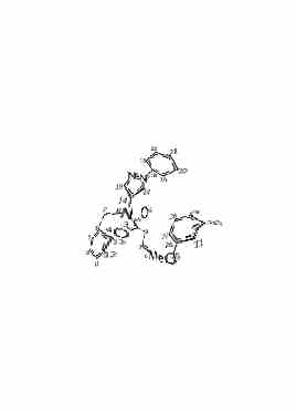 C=CCS(=O)(=O)N(Cc1ccccc1)c1cnn(-c2ccccc2)c1.COc1ccccc1